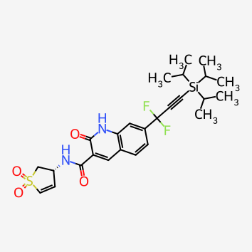 CC(C)[Si](C#CC(F)(F)c1ccc2cc(C(=O)N[C@@H]3C=CS(=O)(=O)C3)c(=O)[nH]c2c1)(C(C)C)C(C)C